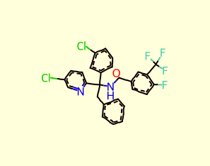 O=C(NC(Cc1ccccc1)(c1cccc(Cl)c1)c1ccc(Cl)cn1)c1ccc(F)c(C(F)(F)F)c1